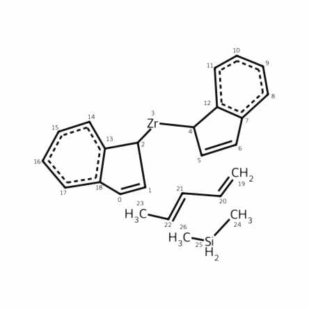 C1=C[CH]([Zr][CH]2C=Cc3ccccc32)c2ccccc21.C=CC=CC.C[SiH2]C